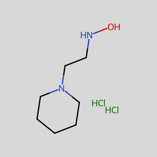 Cl.Cl.ONCCN1CCCCC1